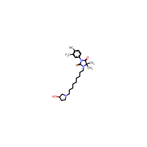 CC1(C)C(=O)N(c2ccc(C#N)c(C(F)(F)F)c2)C(=S)N1CCCCCCCCCN1CCC(O)C1